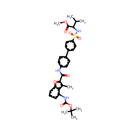 COC(=O)C(NS(=O)(=O)c1ccc(-c2ccc(NC(=O)c3oc4cccc(NC(=O)OC(C)(C)C)c4c3C)cc2)cc1)C(C)C